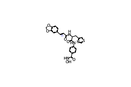 O=C(/C=C/c1ccc2c(c1)OCO2)NC(Cc1cscn1)C(=O)Nc1ccc(C(=O)NO)cc1